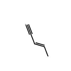 [C]#CC=CC